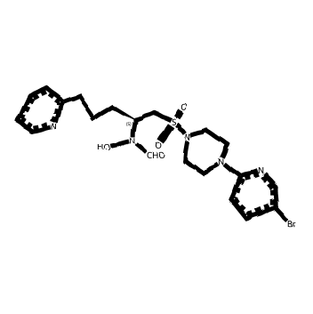 O=CN(O)[C@@H](CCCc1ccccn1)CS(=O)(=O)N1CCN(c2ccc(Br)cn2)CC1